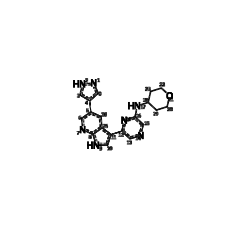 c1n[nH]cc1-c1cnc2[nH]cc(-c3cncc(NC4CCOCC4)n3)c2c1